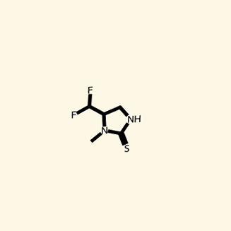 CN1C(=S)NCC1C(F)F